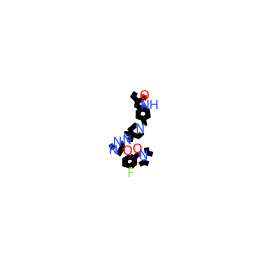 CCC1CC2(CCC(CN3CCC4(CC3)CN(c3ncncc3Oc3ccc(F)cc3C(=O)N(C(C)C)C(C)C)C4)CC2)NC1=O